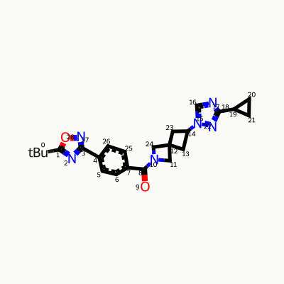 CC(C)(C)c1nc(-c2ccc(C(=O)N3CC4(CC(n5cnc(C6CC6)n5)C4)C3)cc2)no1